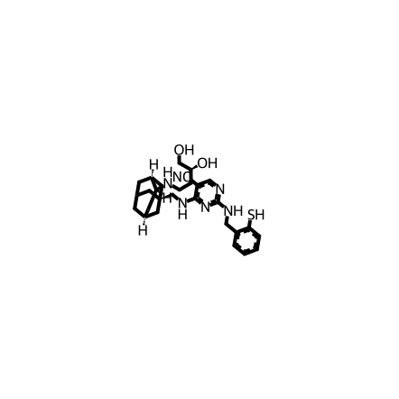 N#Cc1cnc(NCc2ccccc2S)nc1NC[C@]12CC3C[C@H](C1)[C@@H](NCC[C@H](O)CO)[C@@H](C3)C2